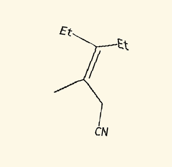 CCC(CC)=C(C)CC#N